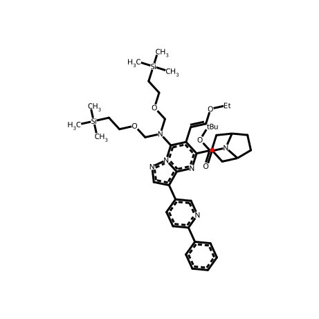 CCOC=Cc1c(C2CC3CCC(C2)N3C(=O)OC(C)(C)C)nc2c(-c3ccc(-c4ccccc4)nc3)cnn2c1N(COCC[Si](C)(C)C)COCC[Si](C)(C)C